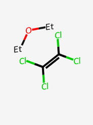 CCOCC.ClC(Cl)=C(Cl)Cl